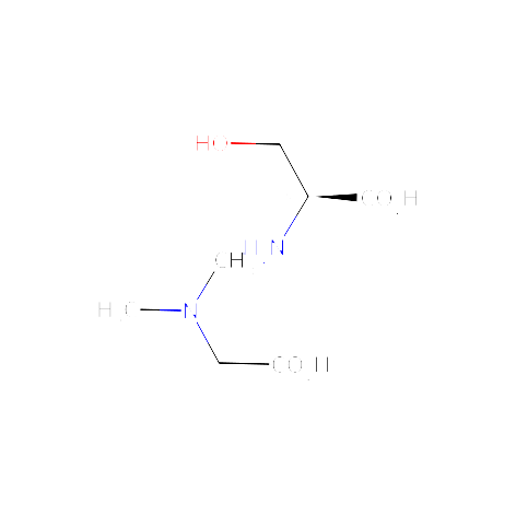 CN(C)CC(=O)O.N[C@@H](CO)C(=O)O